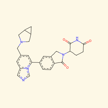 O=C1CCC(N2Cc3cc(-c4cc(CN5CC6CC6C5)cc5cncn45)ccc3C2=O)C(=O)N1